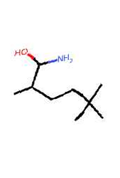 CC(CCC(C)(C)C)C(N)O